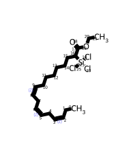 CC/C=C\C/C=C\C/C=C\CCCCCCC(C(=O)OCC)[Si](Cl)(Cl)Cl